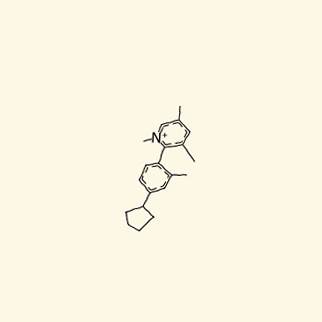 Cc1cc(C)c(-c2ccc(C3CCCC3)cc2C)[n+](C)c1